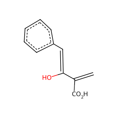 C=C(C(=O)O)C(O)=Cc1ccccc1